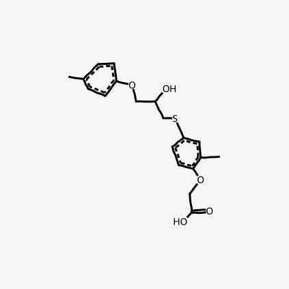 Cc1ccc(OCC(O)CSc2ccc(OCC(=O)O)c(C)c2)cc1